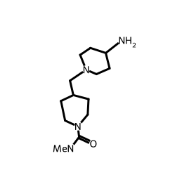 CNC(=O)N1CCC(CN2CCC(N)CC2)CC1